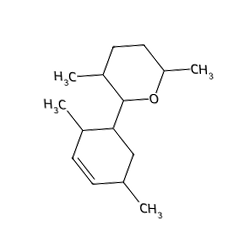 CC1C=CC(C)C(C2OC(C)CCC2C)C1